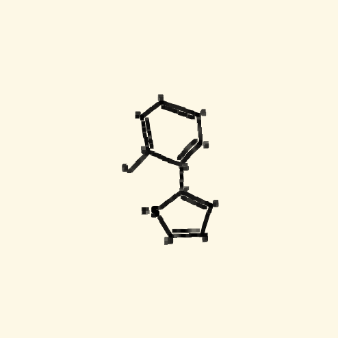 Cc1ccccc1-c1c[c]cs1